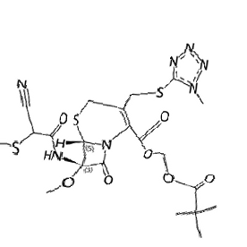 CO[C@@]1(NC(=O)C(C#N)SC)C(=O)N2C(C(=O)OCOC(=O)C(C)(C)C)=C(CSc3nnnn3C)CS[C@H]21